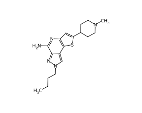 CCCCn1cc2c(n1)c(N)nc1cc(C3CCN(C)CC3)sc12